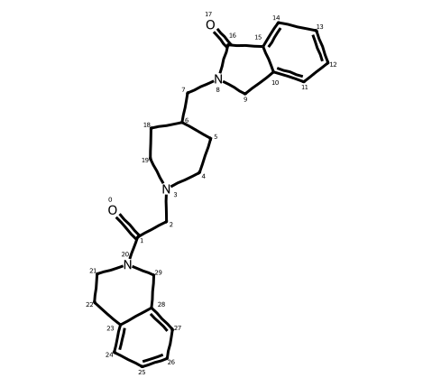 O=C(CN1CCC(CN2Cc3ccccc3C2=O)CC1)N1CCc2ccccc2C1